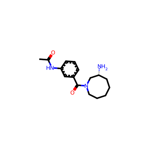 CC(=O)Nc1cccc(C(=O)N2CCCCC[C@@H](N)C2)c1